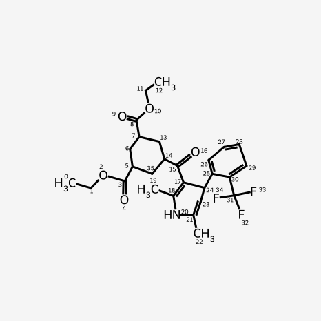 CCOC(=O)C1CC(C(=O)OCC)CC(C(=O)C2=C(C)NC(C)=CC2c2ccccc2C(F)(F)F)C1